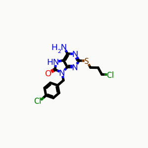 Nc1nc(SCCCCl)nc2c1[nH]c(=O)n2Cc1ccc(Cl)cc1